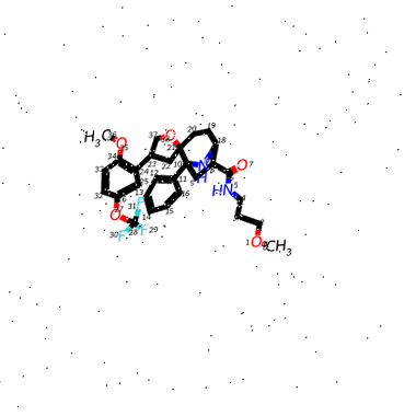 COCCCNC(=O)C1CC2(c3ccccc3)NC1CCC21CC(c2cc(OC(F)(F)F)ccc2OC)CO1